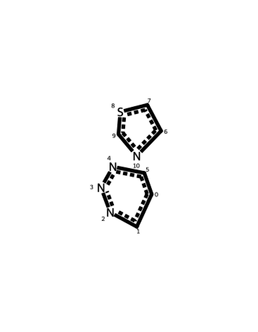 c1cnnnc1.c1cscn1